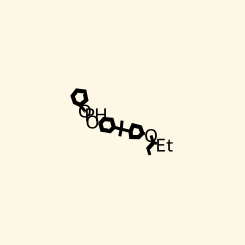 CC=C(CC)Oc1ccc(C(C)(C)c2ccc(OPOc3ccccc3)cc2)cc1